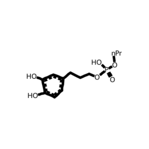 CCCOP(=O)(O)OCCCc1ccc(O)c(O)c1